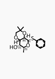 C[C@@H]1O[C@@H](Sc2ccccc2)[C@@H]2OC(C)(C)CO[C@@H]2[C@H]1O